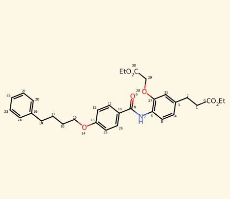 CCOC(=O)CCc1ccc(NC(=O)c2ccc(OCCCCc3ccccc3)cc2)c(OCC(=O)OCC)c1